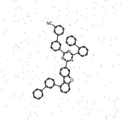 N#Cc1cccc(-c2cccc(-c3nc(-c4ccc5c(c4)oc4cccc(-c6cccc(-c7ccccc7)c6)c45)nc(-c4ccccc4-c4ccccc4)n3)c2)c1